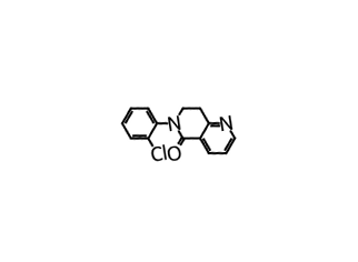 O=C1c2cccnc2CCN1c1ccccc1Cl